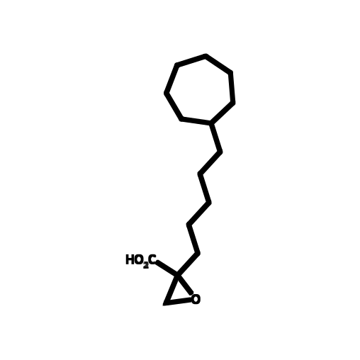 O=C(O)C1(CCCCCC2CCCCCC2)CO1